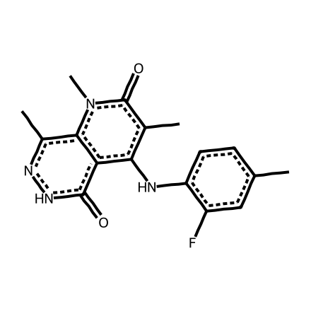 Cc1ccc(Nc2c(C)c(=O)n(C)c3c(C)n[nH]c(=O)c23)c(F)c1